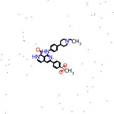 CCN1CCC(c2ccc(Nc3nc(-c4ccc(S(C)(=O)=O)cc4)cc4c3C(C=O)NC=C4)cc2)CC1